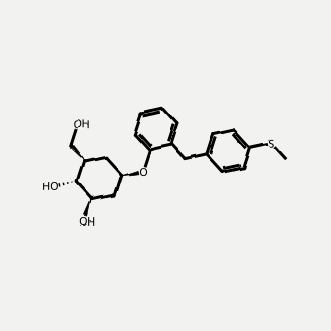 CSc1ccc(Cc2ccccc2O[C@@H]2C[C@H](CO)[C@@H](O)[C@H](O)C2)cc1